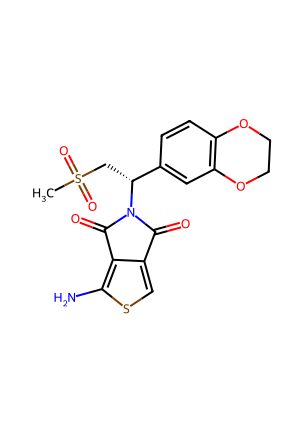 CS(=O)(=O)C[C@H](c1ccc2c(c1)OCCO2)N1C(=O)c2csc(N)c2C1=O